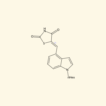 CCCCCCn1ccc2c(/C=C3\SC(=O)NC3=O)cccc21